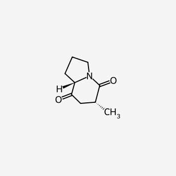 C[C@@H]1CC(=O)[C@@H]2CCCN2C1=O